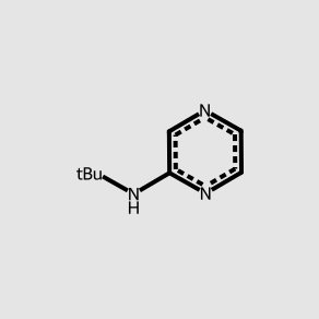 CC(C)(C)Nc1cnccn1